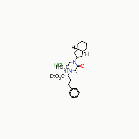 CCOC(=O)[C@@H](CCc1ccccc1)N[C@@H](C)C(=O)N(CC(=O)O)C1C[C@H]2CCCC[C@H]2C1.Cl